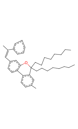 CCCCCCCCC1(CCCCCCCC)Oc2cc(C=C(C)c3ccccc3)ccc2-c2ccc(C)cc21